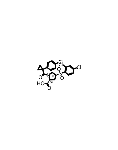 O=C(O)[C@@H]1C[C@@H](S(=O)(=O)c2ccc(Cl)cc2Cl)CN1C(=O)C1(c2ccc(Cl)cc2)CC1